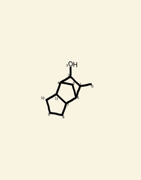 CC1C(O)C2CC1C1CCCC21